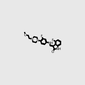 COCCN1CCN(c2ccc(N/C=C3/C(=O)Nc4cccc(F)c43)cc2F)CC1